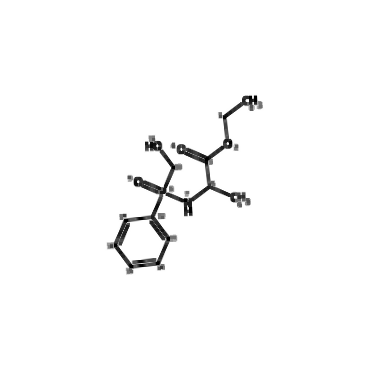 CCOC(=O)C(C)NP(=O)(CO)c1ccccc1